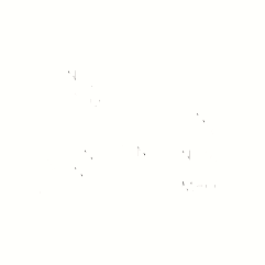 COc1ccc2cccnc2c1N1CCCN(C(CCOC(N)=O)c2ccn(-c3ccccc3)n2)CC1